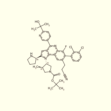 C[C@@H]1CN(C(=O)OC(C)(C)C)C[C@H]1n1c([C@H]2CCCN2)cc2c(-c3ccc(C(C)(C)O)nc3)nc3c(F)c(-c4cccc(Cl)c4Cl)c(CCC#N)cc3c21